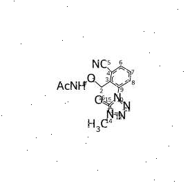 CC(=O)NOCc1c(C#N)cccc1-n1nnn(C)c1=O